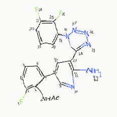 CC(=O)Nc1c(F)cccc1-c1cnc(N)c(-c2nnnn2-c2cccc(F)c2F)c1